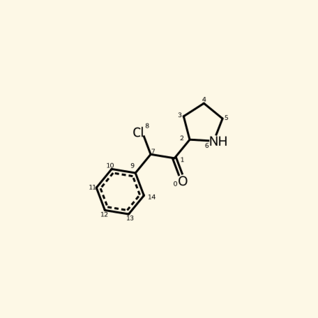 O=C(C1CCCN1)C(Cl)c1ccccc1